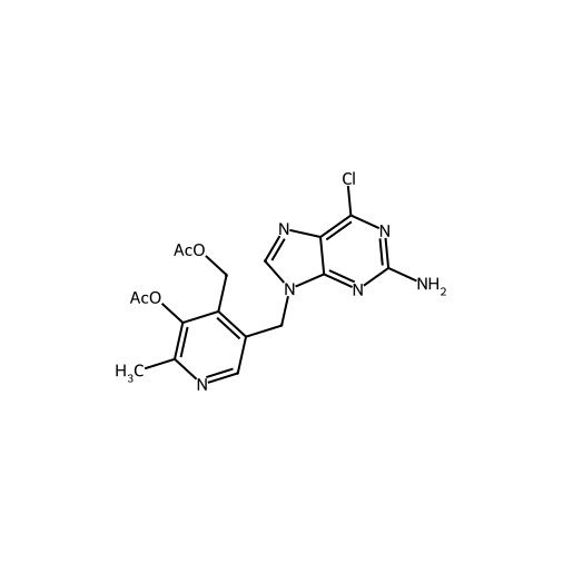 CC(=O)OCc1c(Cn2cnc3c(Cl)nc(N)nc32)cnc(C)c1OC(C)=O